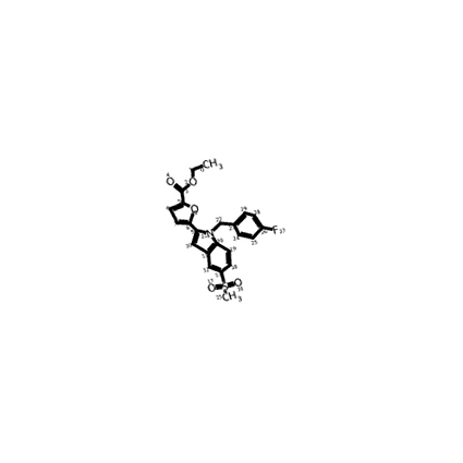 CCOC(=O)c1ccc(-c2cc3cc(S(C)(=O)=O)ccc3n2Cc2ccc(F)cc2)o1